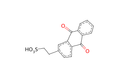 O=C1c2ccccc2C(=O)c2cc(CCS(=O)(=O)O)ccc21